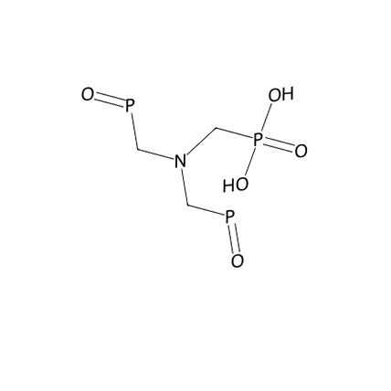 O=PCN(CP=O)CP(=O)(O)O